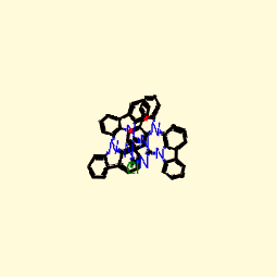 Clc1nc(-n2c3ccccc3c3cccc(-n4c5ccccc5c5ccccc54)c32)nc(-n2c3ccccc3c3cccc(-n4c5ccccc5c5ccccc54)c32)n1